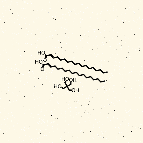 CCCCCCCCCCCCCCCC=CC(=O)O.CCCCCCCCCCCCCCCC=CC(=O)O.OCC(CO)(CO)CO